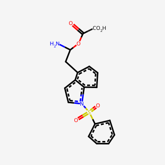 NC(Cc1cccc2c1ccn2S(=O)(=O)c1ccccc1)OC(=O)C(=O)O